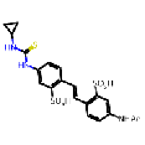 CC(=O)Nc1ccc(C=Cc2ccc(NC(=S)NC3CC3)cc2S(=O)(=O)O)c(S(=O)(=O)O)c1